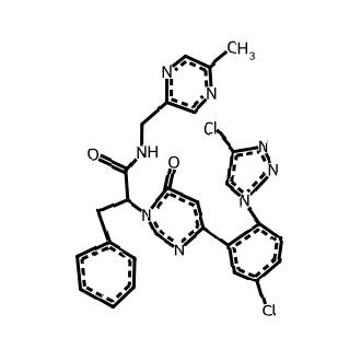 Cc1cnc(CNC(=O)C(Cc2ccccc2)n2cnc(-c3cc(Cl)ccc3-n3cc(Cl)nn3)cc2=O)cn1